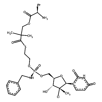 CC(C)[C@@H](N)C(=O)OCC(C)(C)C(=O)SCCO[P@@](=O)(NCc1ccccc1)OC[C@H]1O[C@@H](n2ccc(=O)[nH]c2=O)[C@](C)(Cl)[C@@H]1O